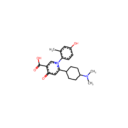 Cc1cc(O)ccc1-n1cc(C(=O)O)c(=O)cc1C1CCC(N(C)C)CC1